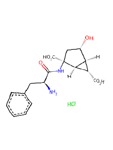 Cl.N[C@@H](Cc1ccccc1)C(=O)N[C@@]1(C(=O)O)C[C@H](O)[C@H]2[C@H](C(=O)O)[C@H]21